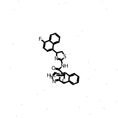 CC1(C(=O)NC2=NC(c3ccc(F)c4ccccc34)CS2)CC2c3ccccc3C1n1cnnc12